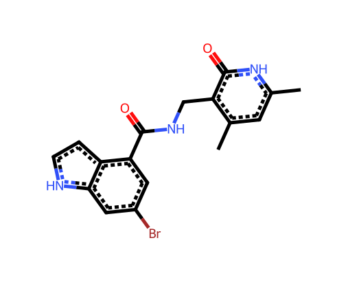 Cc1cc(C)c(CNC(=O)c2cc(Br)cc3[nH]ccc23)c(=O)[nH]1